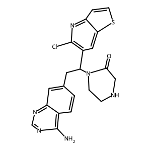 Nc1ncnc2cc(CC(c3cc4sccc4nc3Cl)N3CCNCC3=O)ccc12